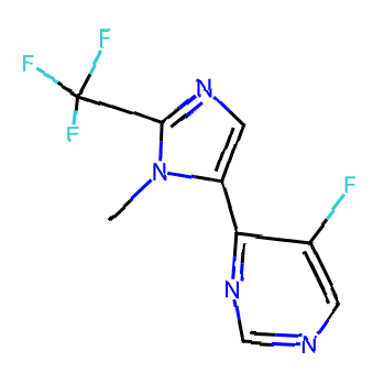 Cn1c(-c2ncncc2F)cnc1C(F)(F)F